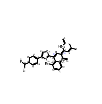 C=CN/C(C=C(C)C)=C(C=C)\C=C(\c1nc(C2=CCC(C(F)F)C=C2)cs1)c1c(CC)cccc1CC